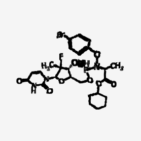 CC(C(=O)OC1CCCCC1)N(Oc1ccc(Br)cc1)[PH](=O)OC[C@H]1O[C@@H](n2ccc(=O)[nH]c2=O)[C@](C)(F)[C@@H]1O